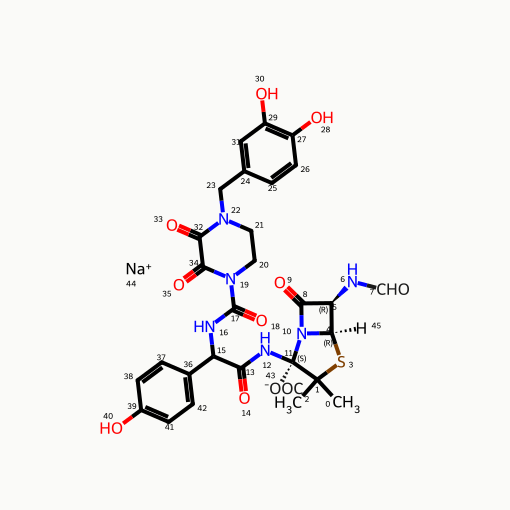 CC1(C)S[C@@H]2[C@H](NC=O)C(=O)N2[C@@]1(NC(=O)C(NC(=O)N1CCN(Cc2ccc(O)c(O)c2)C(=O)C1=O)c1ccc(O)cc1)C(=O)[O-].[Na+]